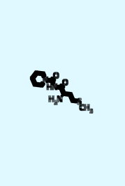 CSCC[C@H](N)C(=O)NC(=O)N1CCCCC1